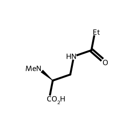 CCC(=O)NC[C@H](NC)C(=O)O